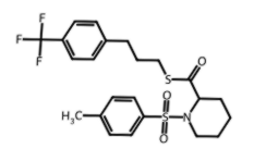 Cc1ccc(S(=O)(=O)N2CCCCC2C(=O)SCCCc2ccc(C(F)(F)F)cc2)cc1